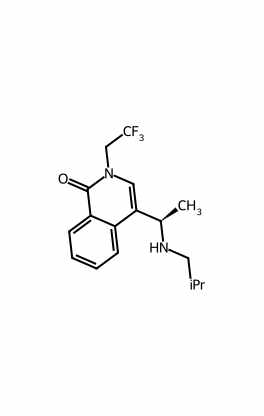 CC(C)CN[C@H](C)c1cn(CC(F)(F)F)c(=O)c2ccccc12